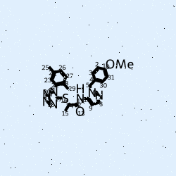 COc1ccc(Cn2nccc2NC(=O)C(C)Sc2nnnn2-c2cc(C)ccc2C)cc1